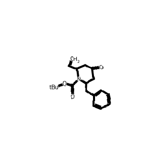 C=CC1CC(=O)CC(Cc2ccccc2)N1C(=O)OC(C)(C)C